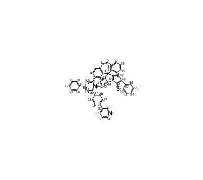 C1=Cc2ccc(-c3nc(-c4ccccc4)nc(-c4ccc(-c5cccnc5)cc4)n3)cc2C2(c3ccccc31)c1ccccc1-c1c2ccc2c1sc1ccccc12